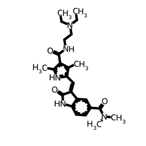 CCN(CC)CCNC(=O)c1c(C)[nH]c(/C=C2\C(=O)Nc3ccc(C(=O)N(C)C)cc32)c1C